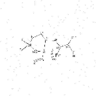 C=CC1(C=C)O[Si](C)(C)CCC1CC(F)C(F)F